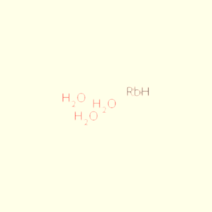 O.O.O.[RbH]